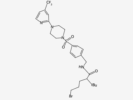 CC(C)(C)C(CCCBr)C(=O)NCc1ccc(S(=O)(=O)N2CCN(c3cc(C(F)(F)F)ccn3)CC2)cc1